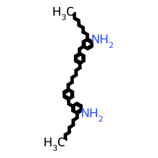 CCCCCCCCc1cc(Cc2ccc(CCCCCCc3ccc(Cc4ccc(N)c(CCCCCCCC)c4)cc3)cc2)ccc1N